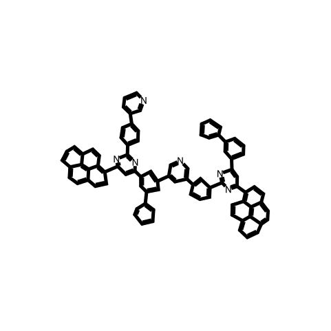 c1ccc(-c2cccc(-c3cc(-c4ccc5ccc6cccc7ccc4c5c67)nc(-c4cccc(-c5cncc(-c6cc(-c7ccccc7)cc(-c7cc(-c8ccc9ccc%10cccc%11ccc8c9c%10%11)nc(-c8ccc(-c9cccnc9)cc8)n7)c6)c5)c4)n3)c2)cc1